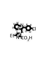 CCc1cn(Cc2c(-c3ccc(Cl)cc3)nc3ccccn23)c(C(=O)O)n1